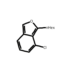 [CH2]CCCCCc1occ2cccc(Cl)c12